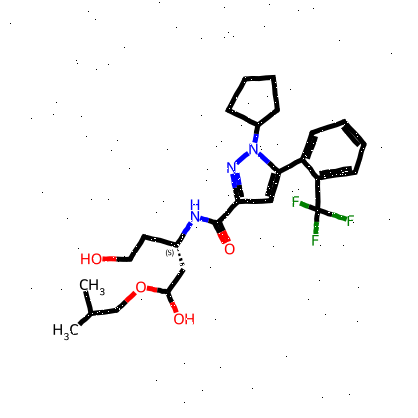 CC(C)COC(O)C[C@H](CCO)NC(=O)c1cc(-c2ccccc2C(F)(F)F)n(C2CCCC2)n1